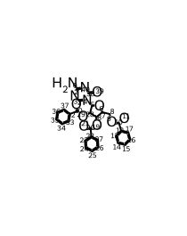 Nc1ncn(C2OC(COC(=O)c3ccccc3)C(OC(=O)c3ccccc3)C2OC(=O)c2ccccc2)c(=O)n1